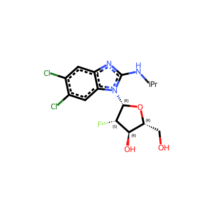 CC(C)Nc1nc2cc(Cl)c(Cl)cc2n1[C@@H]1O[C@H](CO)[C@@H](O)[C@@H]1F